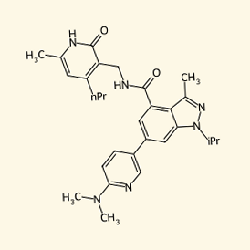 CCCc1cc(C)[nH]c(=O)c1CNC(=O)c1cc(-c2ccc(N(C)C)nc2)cc2c1c(C)nn2C(C)C